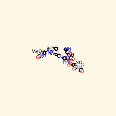 COc1cc(C(C(C)C)N2CCN(C3CC4(CCN(c5ccc(C(=O)NS(=O)(=O)c6cc7c(c([N+](=O)[O-])c6)N[C@H](C6CCOCC6)CO7)c(N6c7cc8cc[nH]c8nc7O[C@H]7COCC[C@@H]76)c5)CC4)C3)[C@H](c3ccccc3C)C2)cnc1N1CCOC[C@@H]1C